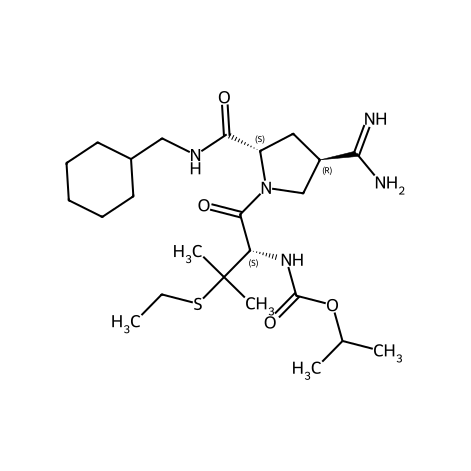 CCSC(C)(C)[C@@H](NC(=O)OC(C)C)C(=O)N1C[C@H](C(=N)N)C[C@H]1C(=O)NCC1CCCCC1